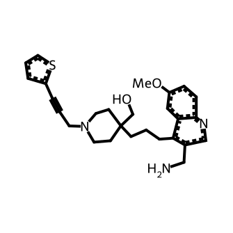 COc1ccc2ncc(CN)c(CCCC3(CO)CCN(CC#Cc4cccs4)CC3)c2c1